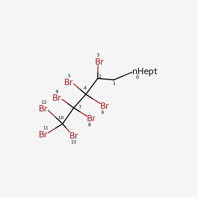 CCCCCCCCC(Br)C(Br)(Br)C(Br)(Br)C(Br)(Br)Br